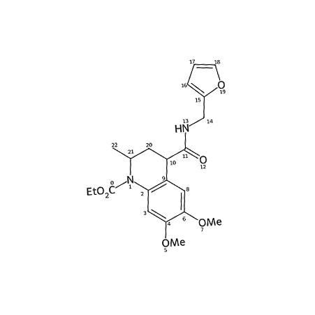 CCOC(=O)N1c2cc(OC)c(OC)cc2C(C(=O)NCc2ccco2)CC1C